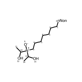 CCCCCCCCCCCCCCCC[N+]([O-])(C(C)O)C(C)O